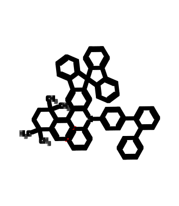 CC1(C)CCC(C)(C)c2c(-c3cc4c(cc3N(c3ccccc3)c3ccc(-c5ccccc5-c5ccccc5)cc3)C3(c5ccccc5-c5ccccc53)c3ccccc3-4)cccc21